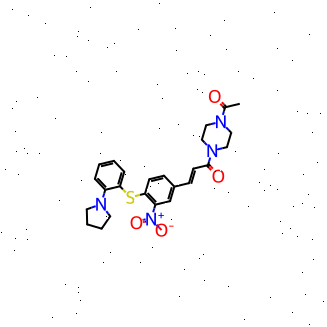 CC(=O)N1CCN(C(=O)C=Cc2ccc(Sc3ccccc3N3CCCC3)c([N+](=O)[O-])c2)CC1